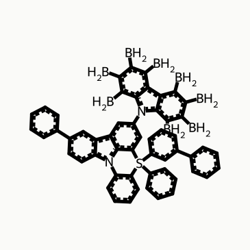 Bc1c(B)c(B)c2c(c1B)c1c(B)c(B)c(B)c(B)c1n2-c1cc2c3c(c1)c1cc(-c4ccccc4)ccc1n3-c1ccccc1S2(c1ccccc1)c1cccc(-c2ccccc2)c1